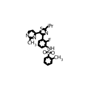 Cc1nccc(-c2sc(C(C)C)nc2-c2cccc(NS(=O)(=O)c3ccccc3C)c2F)n1